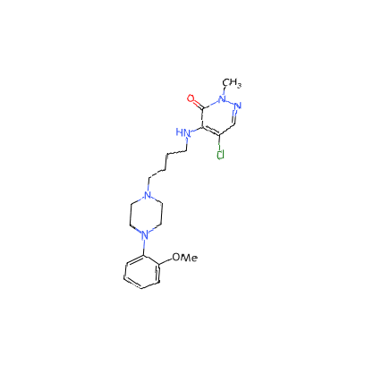 COc1ccccc1N1CCN(CCCCNc2c(Cl)cnn(C)c2=O)CC1